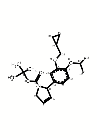 CC(C)(C)OC(=O)N1CC=CC1c1ccc(OC(F)F)c(OCC2CC2)c1